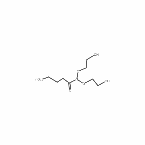 CCCCCCCCCCCC(=O)N(OCCO)OCCO